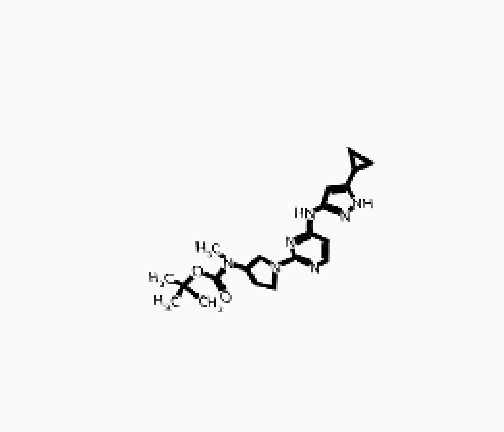 CN(C(=O)OC(C)(C)C)C1CCN(c2nccc(Nc3cc(C4CC4)[nH]n3)n2)C1